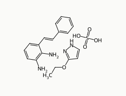 CCOc1cc[nH]n1.Nc1cccc(C=Cc2ccccc2)c1N.O=S(=O)(O)O